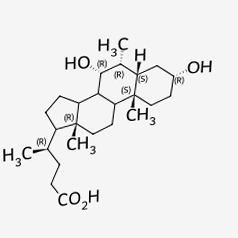 C[C@H]1[C@@H](O)C2C3CCC([C@H](C)CCC(=O)O)[C@@]3(C)CCC2[C@@]2(C)CC[C@@H](O)C[C@@H]12